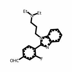 CCN(CC)CCCn1c(-c2ccc(C=O)cc2F)nc2ccccc21